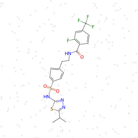 CC(C)c1nnc(NS(=O)(=O)c2ccc(CCNC(=O)c3ccc(C(F)(F)F)cc3F)cc2)s1